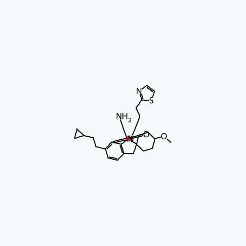 COC1CCC2(CC1)Cc1ccc(CCC3CC3)cc1C21N=C(N)N(CCc2nccs2)C1=O